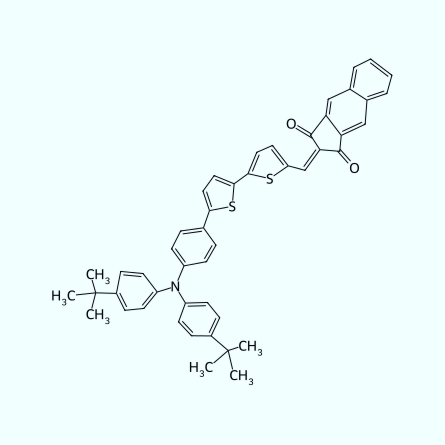 CC(C)(C)c1ccc(N(c2ccc(-c3ccc(-c4ccc(C=C5C(=O)c6cc7ccccc7cc6C5=O)s4)s3)cc2)c2ccc(C(C)(C)C)cc2)cc1